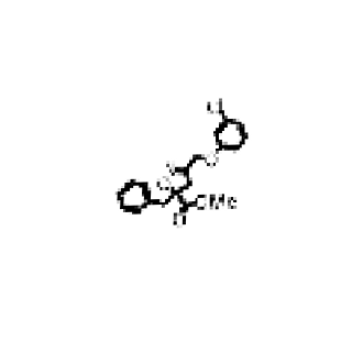 COC(=O)C1(Cc2ccccc2)CC(COc2cccc(Cl)c2)=NO1